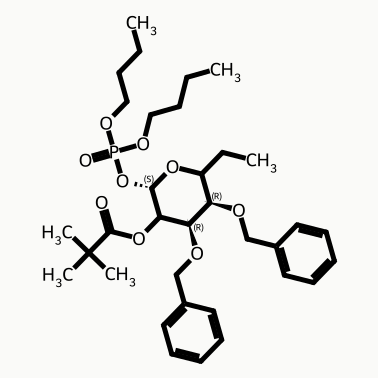 CCCCOP(=O)(OCCCC)O[C@@H]1OC(CC)[C@@H](OCc2ccccc2)[C@@H](OCc2ccccc2)C1OC(=O)C(C)(C)C